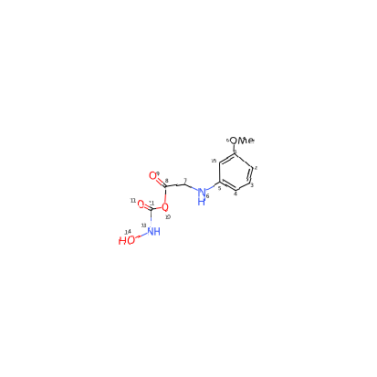 COc1cccc(NCC(=O)OC(=O)NO)c1